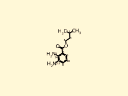 CC(C)CCOC(=O)c1cccc(N)c1N